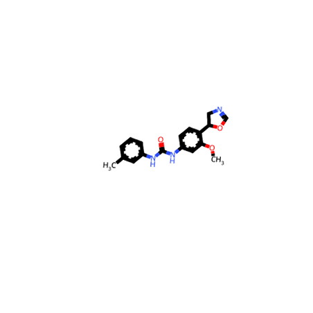 COc1cc(NC(=O)Nc2cccc(C)c2)ccc1C1CN=CO1